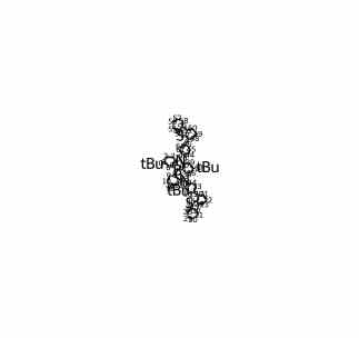 CC(C)(C)c1ccc2c(c1)B1c3ccc(C(C)(C)C)cc3N(c3ccc(-c4cccc5c4sc4ccccc45)cc3)c3cc(C(C)(C)C)cc(c31)N2c1ccc(-c2cccc3c2sc2ccccc23)cc1